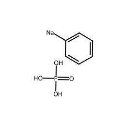 O=P(O)(O)O.[Na][c]1ccccc1